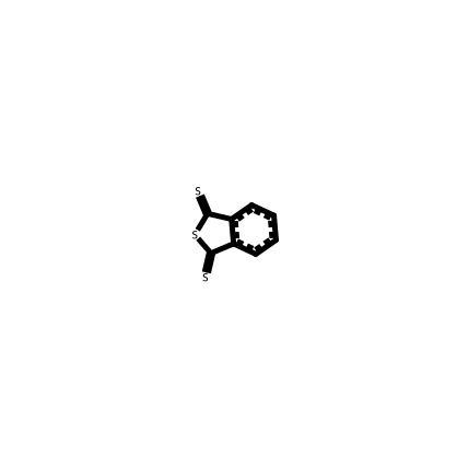 S=C1SC(=S)c2ccccc21